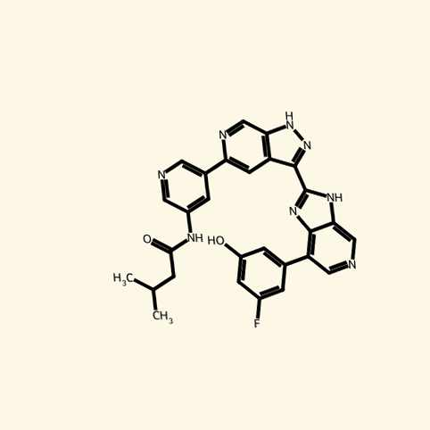 CC(C)CC(=O)Nc1cncc(-c2cc3c(-c4nc5c(-c6cc(O)cc(F)c6)cncc5[nH]4)n[nH]c3cn2)c1